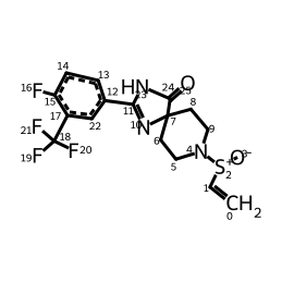 C=C[S+]([O-])N1CCC2(CC1)N=C(c1ccc(F)c(C(F)(F)F)c1)NC2=O